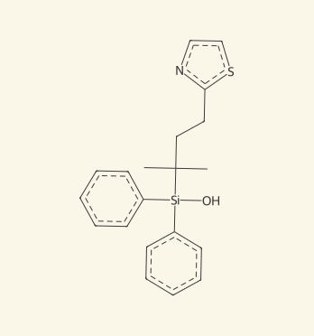 CC(C)(CCc1nccs1)[Si](O)(c1ccccc1)c1ccccc1